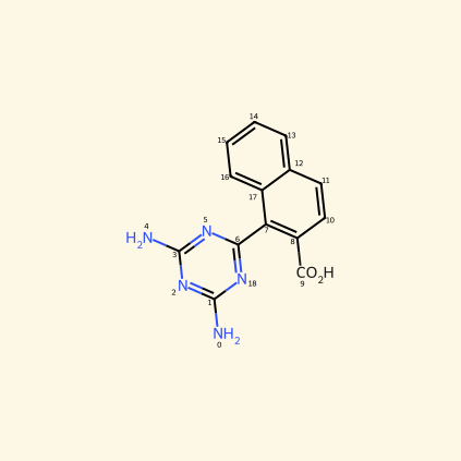 Nc1nc(N)nc(-c2c(C(=O)O)ccc3ccccc23)n1